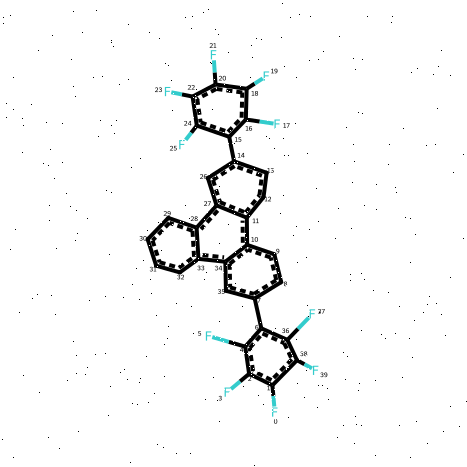 Fc1c(F)c(F)c(-c2ccc3c4ccc(-c5c(F)c(F)c(F)c(F)c5F)cc4c4ccccc4c3c2)c(F)c1F